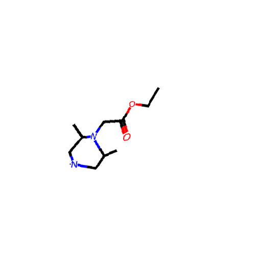 CCOC(=O)CN1C(C)C[N]CC1C